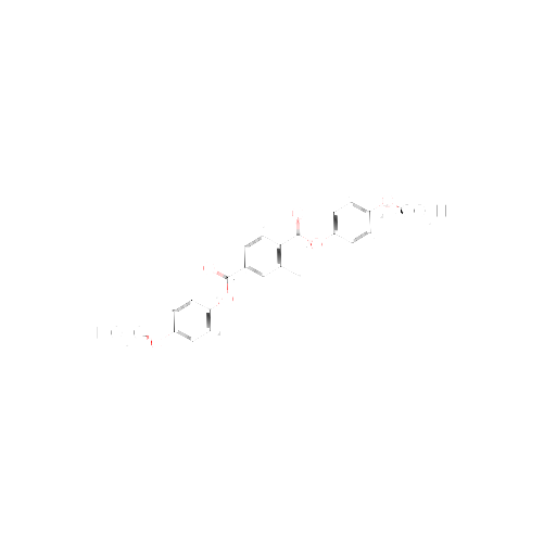 Cc1cc(C(=O)Oc2ccc(OC(=O)O)cc2)ccc1C(=O)Oc1ccc(OC(=O)O)cc1